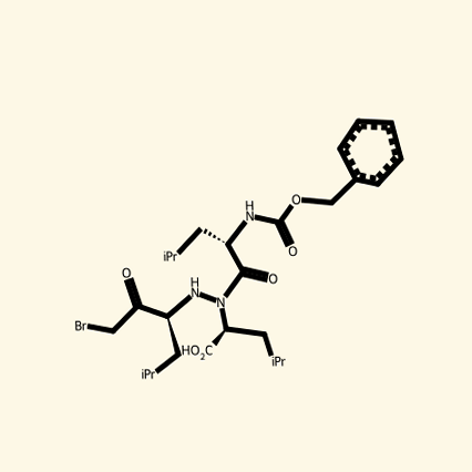 CC(C)C[C@H](NN(C(=O)[C@H](CC(C)C)NC(=O)OCc1ccccc1)[C@@H](CC(C)C)C(=O)O)C(=O)CBr